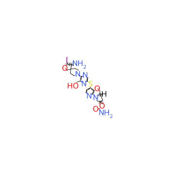 NC(=O)O[C@@H]1C[C@H]2COc3c(Sc4cnc(N5CCC6(CC5)CO[C@@H](I)[C@H]6N)c(CO)n4)ccnc3N2C1